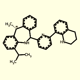 CC(C)c1cccc2c1NC(c1cccc(-c3cccc4c3NCCC4)n1)c1ccccc1[C@H]2C